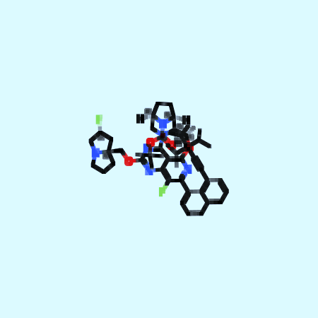 CC(C)[Si](C#Cc1cccc2cccc(-c3nc4c5c(nc(OC[C@@]67CCCN6C[C@H](F)C7)nc5c3F)N3C[C@H]5CC[C@@H]([C@H]3[C@H](C)O4)N5C(=O)OC(C)(C)C)c12)(C(C)C)C(C)C